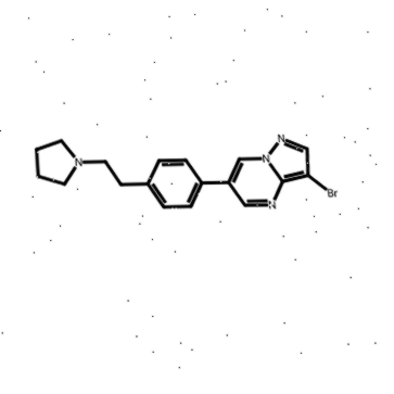 Brc1cnn2cc(-c3ccc(CCN4CCCC4)cc3)cnc12